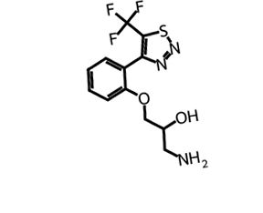 NCC(O)COc1ccccc1-c1nnsc1C(F)(F)F